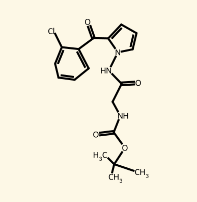 CC(C)(C)OC(=O)NCC(=O)Nn1cccc1C(=O)c1ccccc1Cl